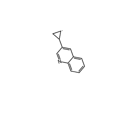 [CH]1CC1c1cnc2ccccc2c1